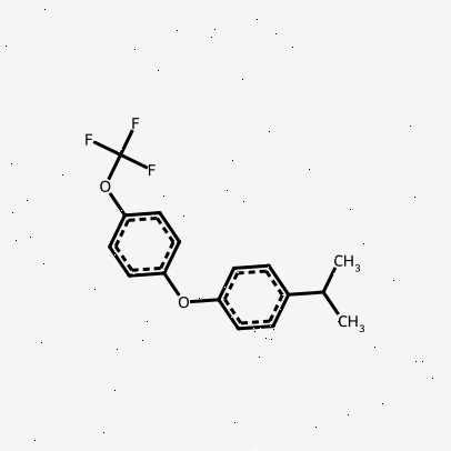 CC(C)c1ccc(Oc2ccc(OC(F)(F)F)cc2)cc1